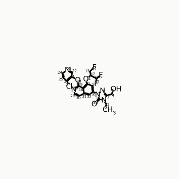 CCn1c(CO)nn(-c2cc(OC(CF)C(F)F)c3c(Oc4cnccc4Cl)nccc3c2)c1=O